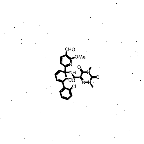 COc1nc(C2(NC(=O)c3nn(C)c(=O)n(C)c3=O)C=CC=C(c3ccccc3Cl)C2Cl)ccc1C=O